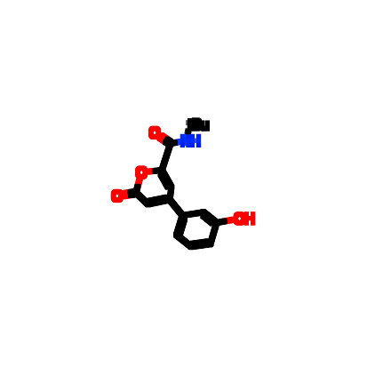 CC(C)(C)NC(=O)c1cc(-c2cccc(O)c2)cc(=O)o1